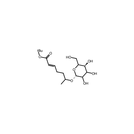 CC(CC/C=C/C(=O)OC(C)(C)C)O[C@@H]1OC(CO)[C@@H](O)C(O)C1O